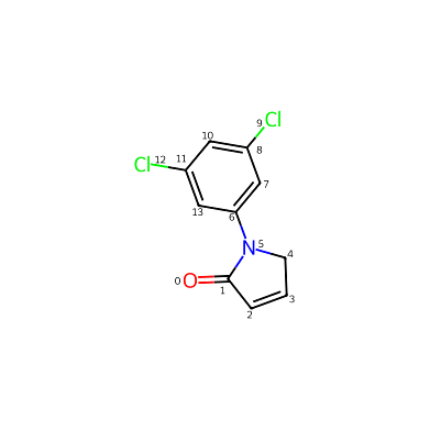 O=C1C=CCN1c1cc(Cl)cc(Cl)c1